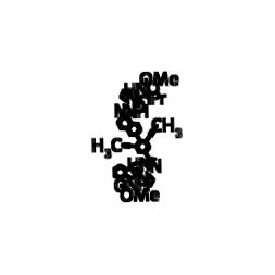 CC#Cc1cc(-c2cnc([C@@H]3CCCN3C(=O)[C@H](NC(=O)OC)c3ccccc3)[nH]2)cc(C#CC)c1-c1ccc2c(ccc3nc([C@@H]4CCCN4C(=O)[C@@H](NC(=O)OC)C(C)C)[nH]c32)c1